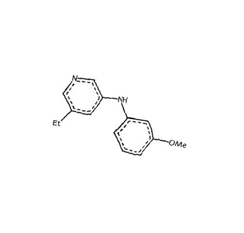 CCc1cncc(Nc2cccc(OC)c2)c1